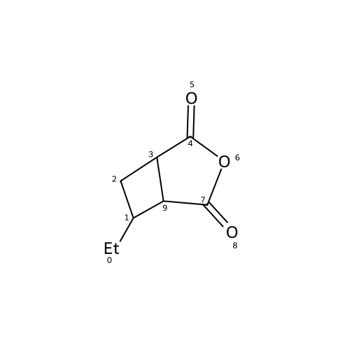 CCC1CC2C(=O)OC(=O)C12